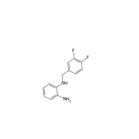 Nc1ccccc1NCc1ccc(F)c(F)c1